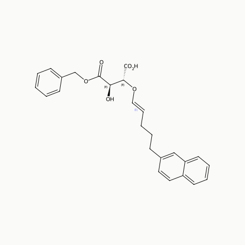 O=C(OCc1ccccc1)[C@H](O)[C@@H](O/C=C/CCCc1ccc2ccccc2c1)C(=O)O